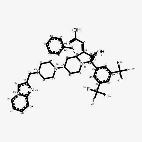 O=C(O)/C=C(/C(=O)O)[C@]1(Cc2ccccc2)C[C@H](N2CCN(Cc3cn4ccccc4n3)CC2)CCN1C(=O)c1cc(C(F)(F)F)cc(C(F)(F)F)c1